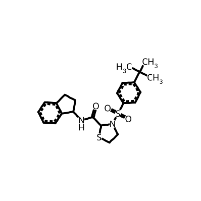 CC(C)(C)c1ccc(S(=O)(=O)N2CCSC2C(=O)NC2CCc3ccccc32)cc1